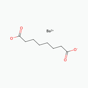 O=C([O-])CCCCCCC(=O)[O-].[Ba+2]